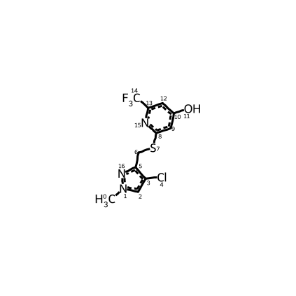 Cn1cc(Cl)c(CSc2cc(O)cc(C(F)(F)F)n2)n1